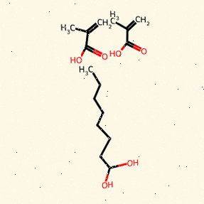 C=C(C)C(=O)O.C=C(C)C(=O)O.CCCCCCCC(O)O